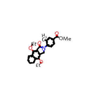 CCOc1c2c(c(OCC)c3ccccc13)C(=O)N(c1ccc(C(=O)OC)cc1C)C2